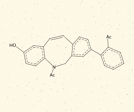 CC(=O)c1ccccc1-c1ccc2c(c1)CN(C(C)=O)c1ccc(O)cc1C=C2